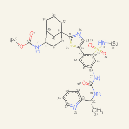 CC(C)OC(=O)NC1CCC2(c3ncc(-c4ccc(NC(=O)N[C@H](C)c5ccccn5)cc4S(=O)(=O)NC(C)(C)C)s3)CCCC1C2